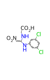 O=C(O)CNC(=C[N+](=O)[O-])Nc1cc(Cl)cc(Cl)c1